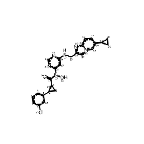 O=C([C@H]1CC1c1cccc(Cl)c1)N(O)c1cc(NCc2cn3cc(C4CC4)ccc3n2)ncn1